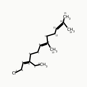 CC/C(=C\CCl)CC/C=C(\C)CCC=C(C)C